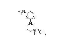 C=C[C@]1(F)CCCN(c2nccc(N)n2)C1